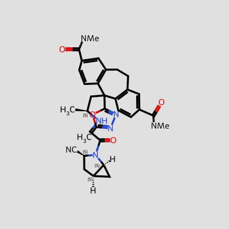 CNC(=O)c1ccc2c(c1)CCc1cc(C(=O)NC)ccc1C2(C[C@H](C)NCC(=O)N1[C@H](C#N)C[C@@H]2C[C@@H]21)c1nnc(C)o1